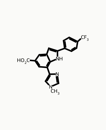 Cn1cnc(-c2cc(C(=O)O)cc3cc(-c4ccc(C(F)(F)F)cc4)[nH]c23)c1